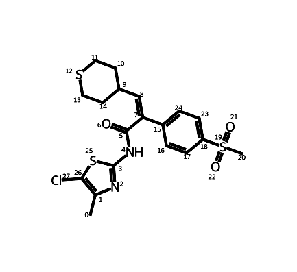 Cc1nc(NC(=O)C(=CC2CCSCC2)c2ccc(S(C)(=O)=O)cc2)sc1Cl